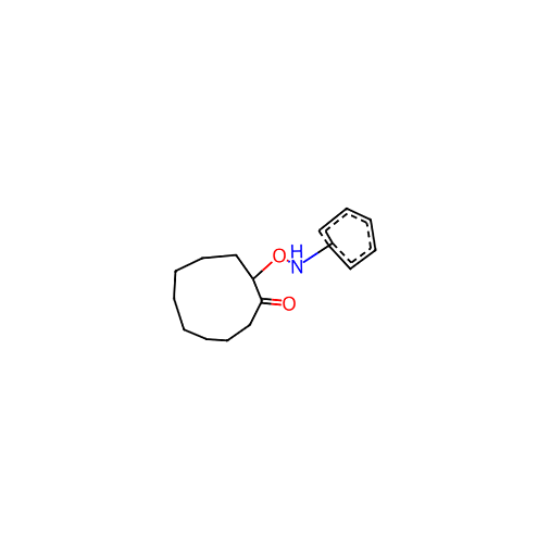 O=C1CCCCCCCCC1ONc1ccccc1